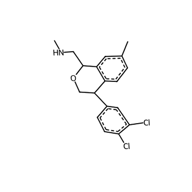 CNCC1OCC(c2ccc(Cl)c(Cl)c2)c2ccc(C)cc21